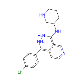 N/C(NC1CCCNC1)=c1/cncc/c1=C(/N)c1ccc(Cl)cc1